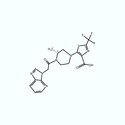 C[C@@H]1CN(c2sc(C(F)(F)F)nc2C(=O)O)CCN1C(=O)Cn1cnc2cccnc21